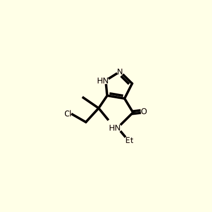 CCNC(=O)c1cn[nH]c1C(C)(C)CCl